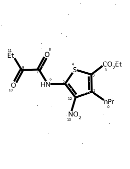 CCCc1c(C(=O)OCC)sc(NC(=O)C(=O)CC)c1[N+](=O)[O-]